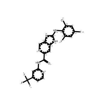 O=C(Nc1cc(C(F)(F)F)ccn1)c1cc2[nH]c(Nc3c(F)cc(F)cc3Cl)nc2cn1